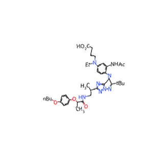 CCCCOc1ccc(OC(C)C(=O)NCC(C)c2nc3n(n2)N=C(C(C)(C)C)/C3=N/c2ccc(N(CC)CCCC(=O)O)cc2NC(C)=O)cc1